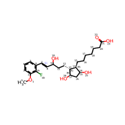 COc1cccc(/C=C/C(O)CC[C@@H]2[C@@H](CCCCCCC(=O)O)[C@@H](O)C[C@H]2O)c1F